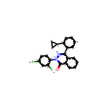 O=c1c2ccccc2c(-c2ccccc2C2CC2)nn1-c1ccc(F)cc1F